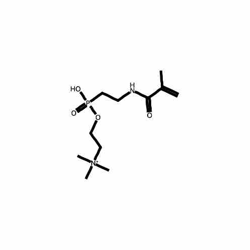 C=C(C)C(=O)NCCP(=O)(O)OCC[N+](C)(C)C